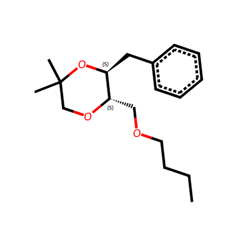 CCCCOC[C@@H]1OCC(C)(C)O[C@H]1Cc1ccccc1